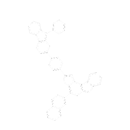 c1ccc(-n2c3ccccc3c3ccc(-c4ccc(-c5nc6c(o5)c(-c5ccc7ccccc7c5)cc5oc7ccccc7c56)cc4)cc32)cc1